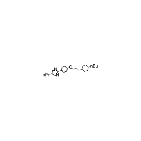 CCCCC1CCC(CCCOc2ccc(-c3ncc(CCC)cn3)cc2)CC1